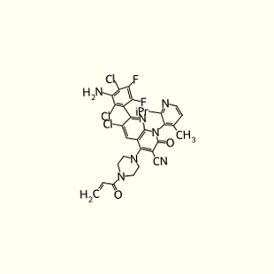 C=CC(=O)N1CCN(c2c(C#N)c(=O)n(-c3c(C)ccnc3C(C)C)c3nc(-c4c(F)c(F)c(Cl)c(N)c4Cl)c(Cl)cc23)CC1